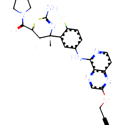 C#CCOc1cnc2c(Nc3ccc(F)c([C@@]4(C)N=C(N)S[C@](C)(C(=O)N5CCCC5)[C@H]4C)c3)nccc2n1